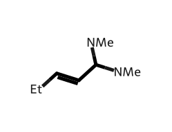 CCC=CC(NC)NC